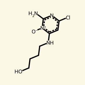 Nc1nc(Cl)cc(NCCCCO)[n+]1[O-]